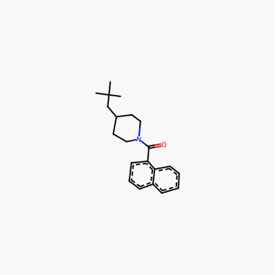 CC(C)(C)CC1CCN(C(=O)c2cccc3ccccc23)CC1